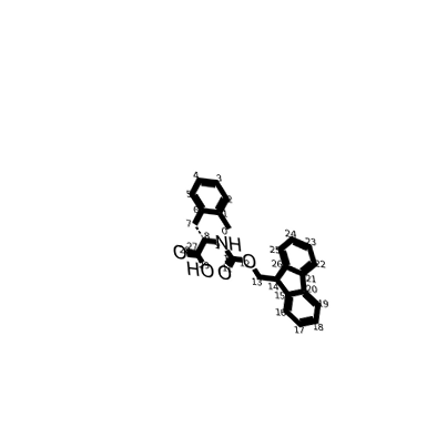 Cc1ccccc1C[C@H](NC(=O)OCC1c2ccccc2-c2ccccc21)C(=O)O